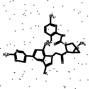 CC(=O)c1cn(CC(=O)N2C3C[C@]3(C)C[C@H]2C(=O)Nc2nc(C(F)(F)F)ccc2C)c2c(C)cc(-c3cnc(C)nc3)cc12